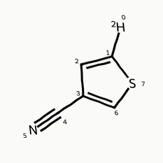 [2H]c1cc(C#N)cs1